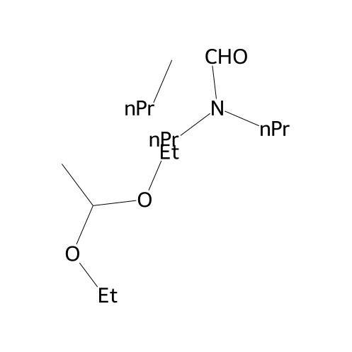 CCCC.CCCN(C=O)CCC.CCOC(C)OCC